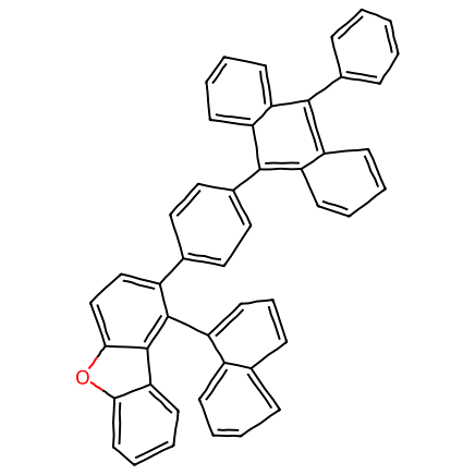 c1ccc(-c2c3ccccc3c(-c3ccc(-c4ccc5oc6ccccc6c5c4-c4cccc5ccccc45)cc3)c3ccccc23)cc1